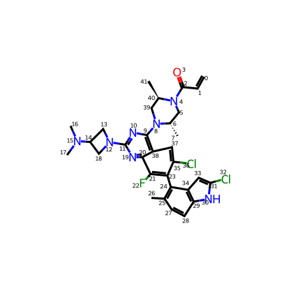 C=CC(=O)N1C[C@H](C)N(c2nc(N3CC(N(C)C)C3)nc3c(F)c(-c4c(C)ccc5[nH]c(Cl)cc45)c(Cl)cc23)C[C@H]1C